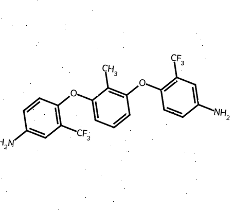 Cc1c(Oc2ccc(N)cc2C(F)(F)F)cccc1Oc1ccc(N)cc1C(F)(F)F